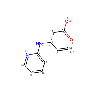 C=C[C@@H](CC(=O)O)Nc1ccccn1